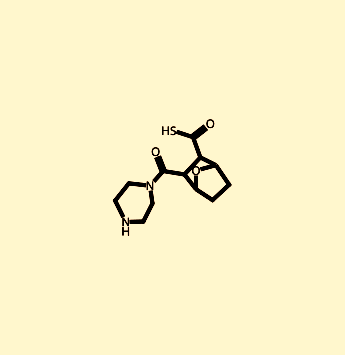 O=C(S)C1C2CCC(O2)C1C(=O)N1CCNCC1